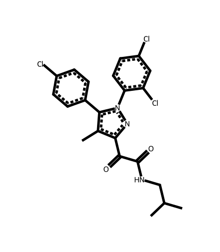 Cc1c(C(=O)C(=O)NCC(C)C)nn(-c2ccc(Cl)cc2Cl)c1-c1ccc(Cl)cc1